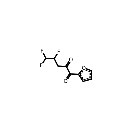 O=C(CC(F)C(F)F)C(=O)c1ccco1